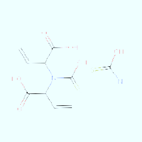 C=CC(C(=O)O)N(C(O)=S)C(C=C)C(=O)O.NC(O)=S